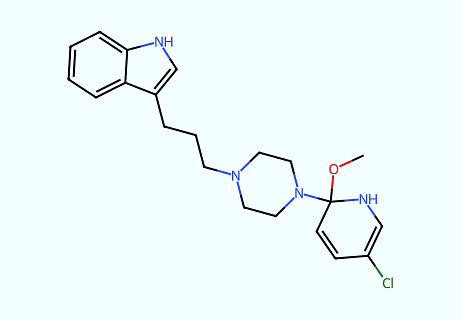 COC1(N2CCN(CCCc3c[nH]c4ccccc34)CC2)C=CC(Cl)=CN1